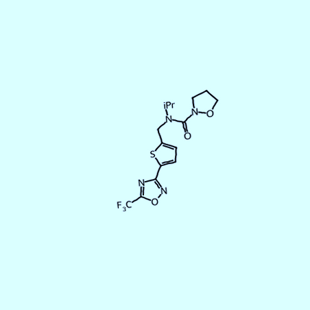 CC(C)N(Cc1ccc(-c2noc(C(F)(F)F)n2)s1)C(=O)N1CCCO1